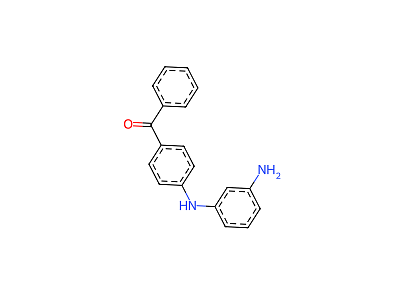 Nc1cccc(Nc2ccc(C(=O)c3ccccc3)cc2)c1